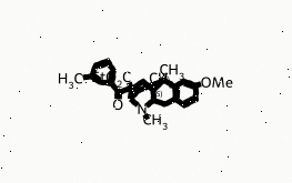 CCOC(=O)C1(C(=O)c2cccc(C)c2)C[C@]2(C)C3Cc4ccc(OC)cc4[C@]2(C)CC1N3C